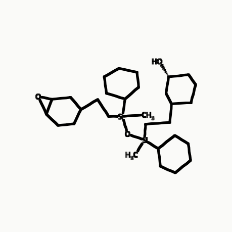 C[Si](CCC1CCC2OC2C1)(O[Si](C)(CCC1CCC[C@@H](O)C1)C1CCCCC1)C1CCCCC1